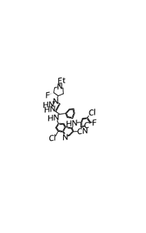 CCN1CC[C@@H](N2C=C([C@@H](Nc3cc(Cl)c4ncc(C#N)c(Nc5ccc(F)c(Cl)c5)c4c3)c3ccccc3)NN2)[C@H](F)C1